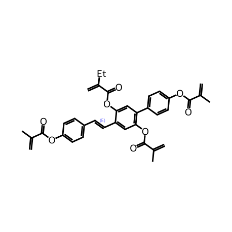 C=C(C)C(=O)Oc1ccc(/C=C/c2cc(OC(=O)C(=C)C)c(-c3ccc(OC(=O)C(=C)C)cc3)cc2OC(=O)C(=C)CC)cc1